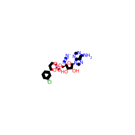 [N-]=[N+]=N[C@]1(COP2(=O)OCC[C@@H](c3cccc(Cl)c3)O2)O[C@@H](n2cnc3c(N)ncnc32)[C@H](O)[C@@H]1O